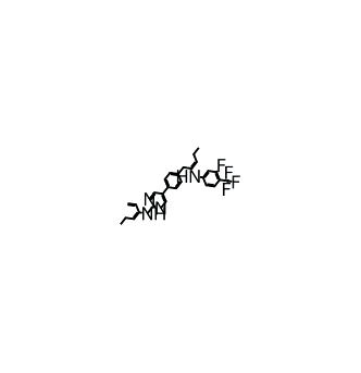 C=C/C(=C\CC)Nc1ncc(-c2ccc(C/C(=C\CC)Nc3ccc(C(F)(F)F)c(F)c3)cc2)cn1